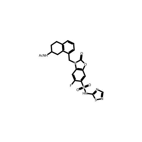 CC(=O)NC1CCc2cccc(Cn3c(=O)oc4cc(S(=O)(=O)Nc5ncns5)c(F)cc43)c2C1